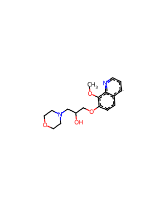 COc1c(OCC(O)CN2CCOCC2)ccc2[c]ccnc12